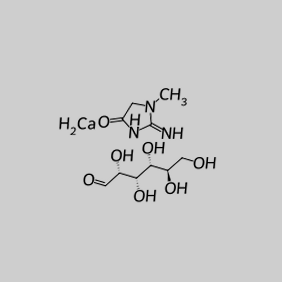 CN1CC(=O)NC1=N.O=C[C@H](O)[C@@H](O)[C@H](O)[C@H](O)CO.[CaH2]